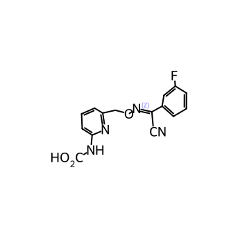 N#C/C(=N\OCc1cccc(NC(=O)O)n1)c1cccc(F)c1